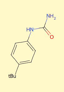 CC(C)(C)c1ccc(NC(N)=O)cc1